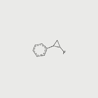 FC1CC1c1ccccc1